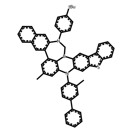 Cc1cc2c3c(c1)N(c1ccc(-c4ccccc4)cc1C)c1cc4sc5ccccc5c4cc1B3CN(c1ccc(C(C)(C)C)cc1)c1cc3ccccc3cc1-2